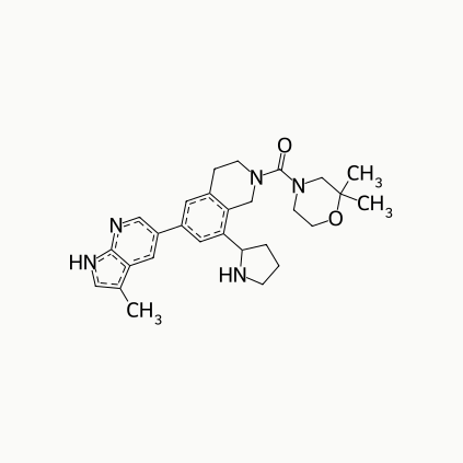 Cc1c[nH]c2ncc(-c3cc4c(c(C5CCCN5)c3)CN(C(=O)N3CCOC(C)(C)C3)CC4)cc12